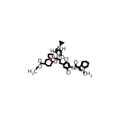 CCOC(=O)C1CCC(O[C@@](C(=O)Cc2cc(Cl)c(NC(=O)c3cn(C)c4ccccc34)cc2Cl)(N2CCCC2)N2C[C@H]3C[C@H]2CN3C2CC2)CC1